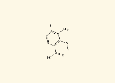 COc1c(C(=O)O)ccc(C)c1N